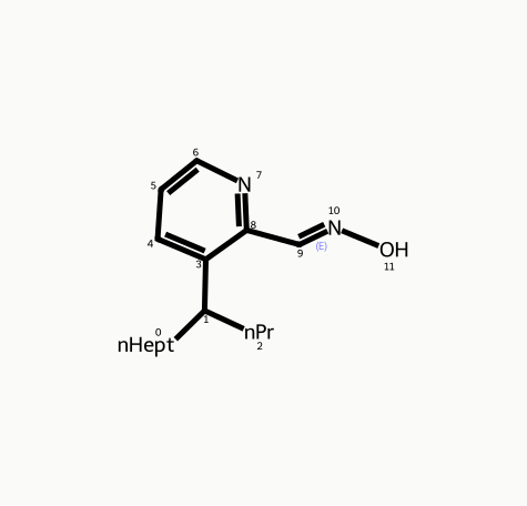 CCCCCCCC(CCC)c1cccnc1/C=N/O